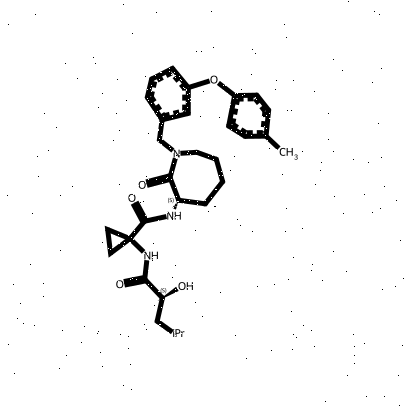 Cc1ccc(Oc2cccc(CN3CCCC[C@H](NC(=O)C4(NC(=O)[C@@H](O)CC(C)C)CC4)C3=O)c2)cc1